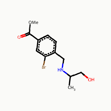 COC(=O)c1ccc(CNC(C)CO)c(Br)c1